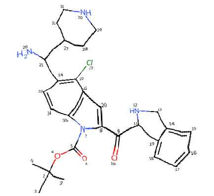 CC(C)(C)OC(=O)n1c(C(=O)C2NCc3ccccc32)cc2c(Cl)c(C(N)C3CCNCC3)ccc21